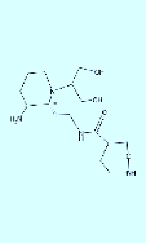 NC1CCCN(C(CO)CO)[C@@H]1CCNC(=O)C1CCNCC1